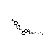 CC(=O)c1ccc(N2CCN(CC[C@@H]3OCCc4cc(C(=O)N(C)O)ccc43)CC2)cc1